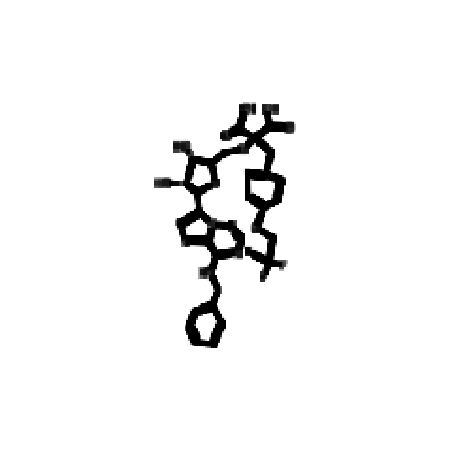 O=C(O)C(Cc1ccc(OCC(F)(F)F)cc1)(OC[C@H]1OC(c2cnc3c(NCc4ccccc4)ncnn23)[C@H](O)[C@@H]1O)C(=O)O